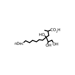 CCCCCCCCCCCCCCCCC(O)(CC(C)C(=O)O)C(O)CO